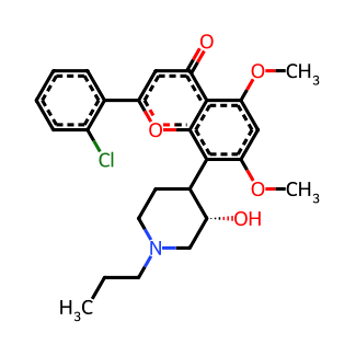 CCCN1CCC(c2c(OC)cc(OC)c3c(=O)cc(-c4ccccc4Cl)oc23)[C@H](O)C1